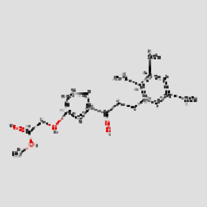 COc1cc(CCC(=O)c2cccc(OCC(=O)OC(C)(C)C)c2)c(OC)c(OC)c1